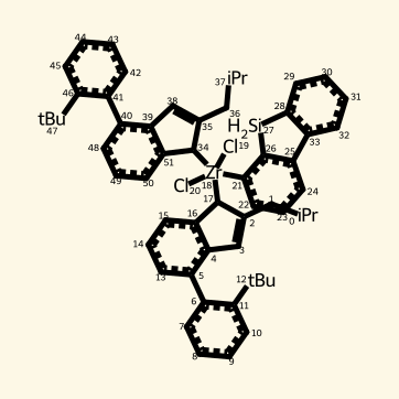 CC(C)CC1=Cc2c(-c3ccccc3C(C)(C)C)cccc2[CH]1[Zr]([Cl])([Cl])([c]1cccc2c1[SiH2]c1ccccc1-2)[CH]1C(CC(C)C)=Cc2c(-c3ccccc3C(C)(C)C)cccc21